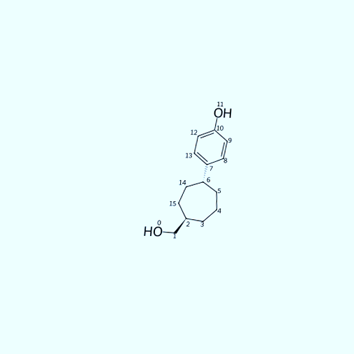 OC[C@@H]1CCC[C@@H](c2ccc(O)cc2)CC1